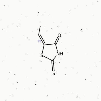 C/C=C1/SC(=S)NC1=O